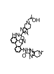 C[C@@H](O)CN1CCc2c(nc(C(=O)Nc3cccc(-c4cccc(NC(=O)c5nc6c(n5C)CCN(C)C6)c4C#N)c3Cl)n2C)C1